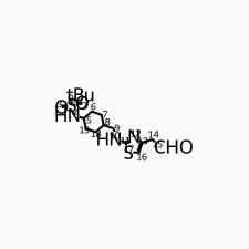 CC(C)(C)S(=O)(=O)NC1CCC(CNc2nc(CC=O)cs2)CC1